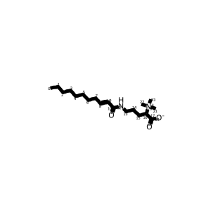 CCCCCCCCC=CC(=O)NCCCC(C(=O)[O-])[N+](C)(C)C